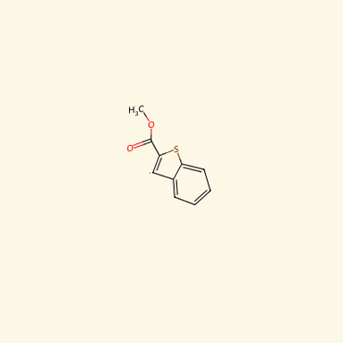 COC(=O)c1[c]c2ccccc2s1